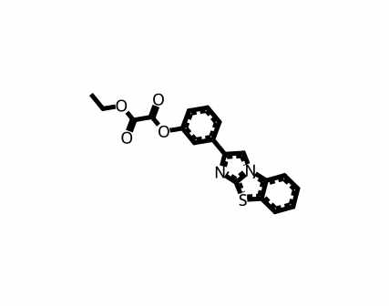 CCOC(=O)C(=O)Oc1cccc(-c2cn3c(n2)sc2ccccc23)c1